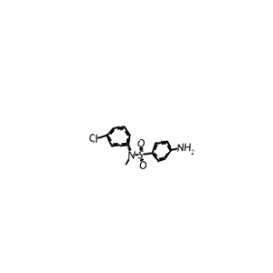 CN(c1cccc(Cl)c1)S(=O)(=O)c1ccc(N)cc1